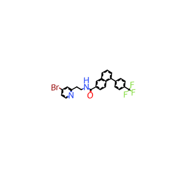 O=C(NCCc1cc(Br)ccn1)c1ccc2c(-c3ccc(C(F)(F)F)cc3)cccc2c1